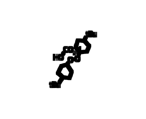 CC(C)(C)C1CCC(OOC2CCC(C(C)(C)C)CC2)CC1.O=C(O)O